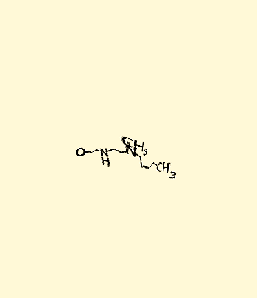 CC/C=C\CN(C)CCNCC=O